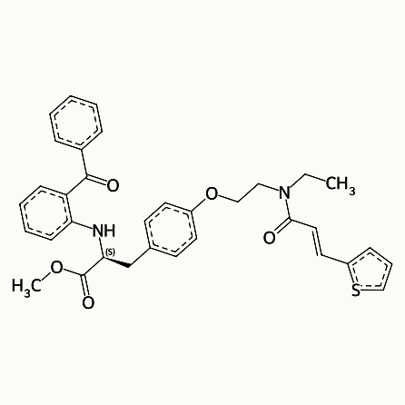 CCN(CCOc1ccc(C[C@H](Nc2ccccc2C(=O)c2ccccc2)C(=O)OC)cc1)C(=O)C=Cc1cccs1